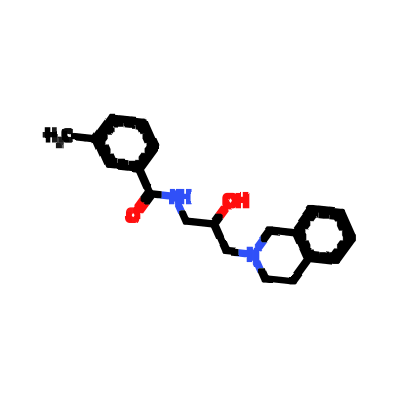 [CH2]c1cccc(C(=O)NCC(O)CN2CCc3ccccc3C2)c1